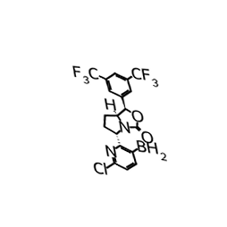 Bc1ccc(Cl)nc1[C@@H]1CC[C@H]2[C@@H](c3cc(C(F)(F)F)cc(C(F)(F)F)c3)OC(=O)N12